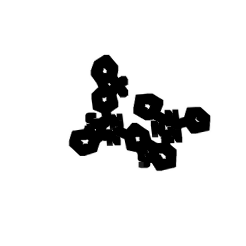 CC1(C)c2ccccc2-c2ccc(-c3nc(-c4ccc5c(c4)sc4cccc(-c6nc(-c7ccccc7)nc(-c7ccccc7)n6)c45)nc4c3sc3ccccc34)cc21